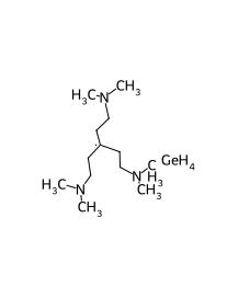 CN(C)CC[C](CCN(C)C)CCN(C)C.[GeH4]